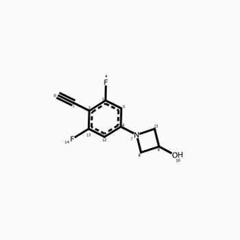 C#Cc1c(F)cc(N2CC(O)C2)cc1F